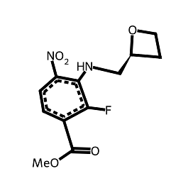 COC(=O)c1ccc([N+](=O)[O-])c(NC[C@@H]2CCO2)c1F